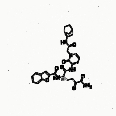 NC(=O)C(=O)CC[C@H](NC(=O)c1cc2ccccc2o1)C(=O)Nc1cccn(CC(=O)NC2CC3CCC2C3)c1=O